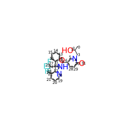 CC(O)Cn1cc(C(=O)N[C@@](c2ccccc2)(c2ncccc2F)C(F)(F)F)ccc1=O